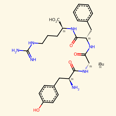 CC[C@H](C)[C@H](NC(=O)[C@@H](N)Cc1ccc(O)cc1)C(=O)N[C@@H](Cc1ccccc1)C(=O)N[C@@H](CCCNC(=N)N)C(=O)O